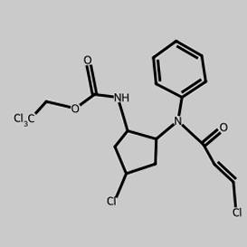 O=C(NC1CC(Cl)CC1N(C(=O)C=CCl)c1ccccc1)OCC(Cl)(Cl)Cl